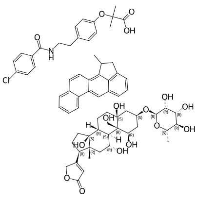 CC(C)(Oc1ccc(CCNC(=O)c2ccc(Cl)cc2)cc1)C(=O)O.CC1Cc2cccc3cc4c(ccc5ccccc54)c1c23.C[C@@H]1O[C@@H](O[C@H]2C[C@@H](O)[C@]3(CO)[C@H]4[C@H](O)C[C@]5(C)[C@@H](C6=CC(=O)OC6)CC[C@]5(O)[C@@H]4CC[C@]3(O)C2)[C@H](O)[C@H](O)[C@H]1O